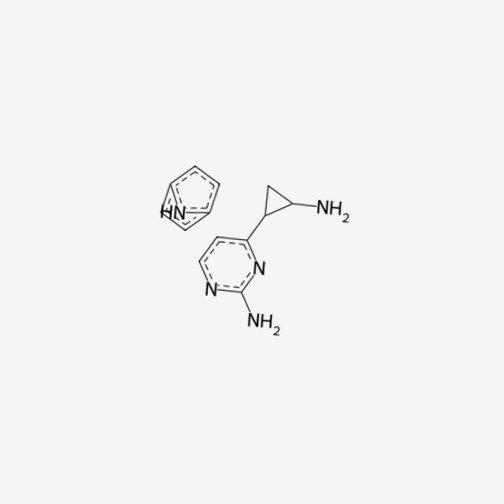 Nc1nccc(C2CC2N)n1.c1cc2ccc1[nH]2